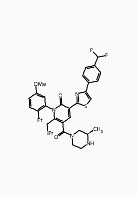 CCc1ccc(OC)cc1-n1c(CC(C)C)c(C(=O)N2CCN[C@H](C)C2)cc(-c2nc(-c3ccc(C(F)F)cc3)cs2)c1=O